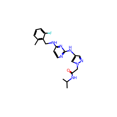 Cc1cccc(F)c1CNc1ccnc(Nc2cnn(CC(=O)NC(C)C)c2)n1